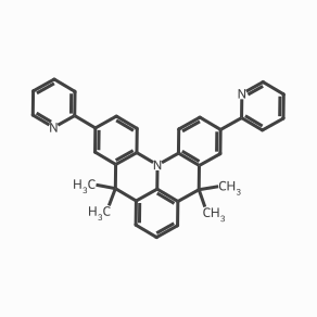 CC1(C)c2cc(-c3ccccn3)ccc2N2c3ccc(-c4ccccn4)cc3C(C)(C)c3cccc1c32